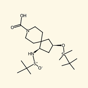 CC(C)(C)[S+]([O-])N[C@@H]1C[C@H](O[Si](C)(C)C(C)(C)C)CC12CCN(C(=O)O)CC2